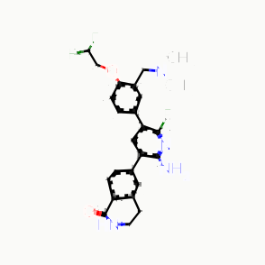 CN(C)Cc1cc(-c2cc(-c3ccc4c(c3)CCNC4=O)c(N)nc2F)ccc1OCC(F)F